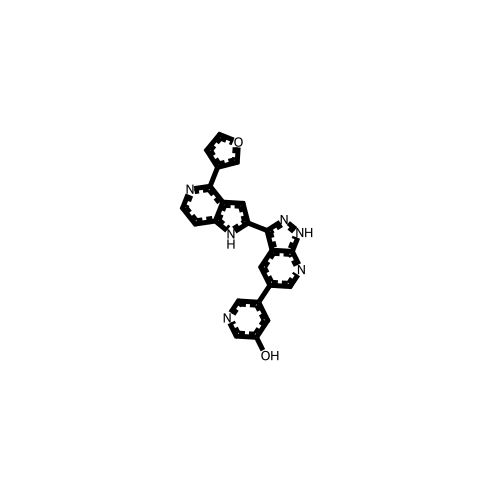 Oc1cncc(-c2cnc3[nH]nc(-c4cc5c(-c6ccoc6)nccc5[nH]4)c3c2)c1